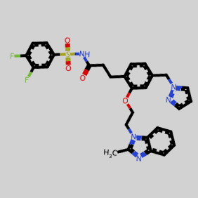 Cc1nc2ccccc2n1CCOc1cc(Cn2cccn2)ccc1CCC(=O)NS(=O)(=O)c1ccc(F)c(F)c1